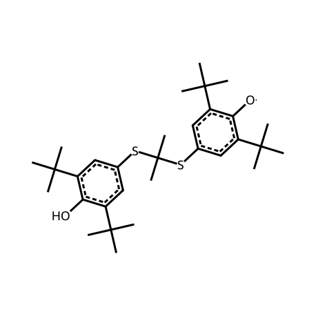 CC(C)(Sc1cc(C(C)(C)C)c([O])c(C(C)(C)C)c1)Sc1cc(C(C)(C)C)c(O)c(C(C)(C)C)c1